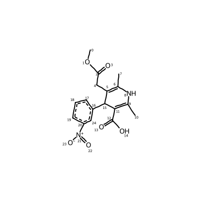 COC(=O)CC1=C(C)NC(C)=C(C(=O)O)C1c1cccc([N+](=O)[O-])c1